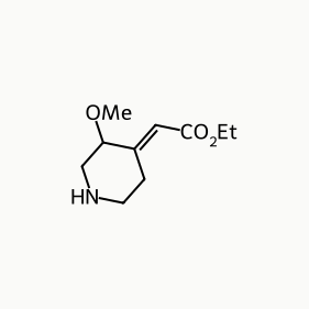 CCOC(=O)C=C1CCNCC1OC